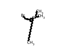 CCCCCCCCCCCCCCCc1cc(C#CCCCBr)cc(OCC(CC)CCCC)c1